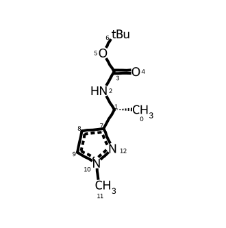 C[C@@H](NC(=O)OC(C)(C)C)c1ccn(C)n1